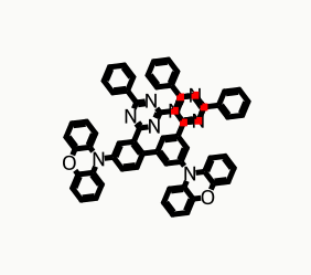 c1ccc(-c2nc(-c3ccccc3)nc(-c3cc(-c4ccc(N5c6ccccc6Oc6ccccc65)cc4-c4nc(-c5ccccc5)nc(-c5ccccc5)n4)cc(N4c5ccccc5Oc5ccccc54)c3)n2)cc1